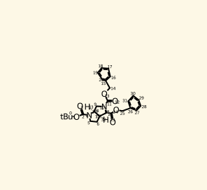 CC(C)(C)OC(=O)N1CC[C@H]2[C@@H]1CN(C(=O)OCc1ccccc1)[C@H]2C(=O)OCc1ccccc1